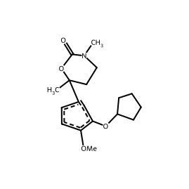 COc1ccc(C2(C)CCN(C)C(=O)O2)cc1OC1CCCC1